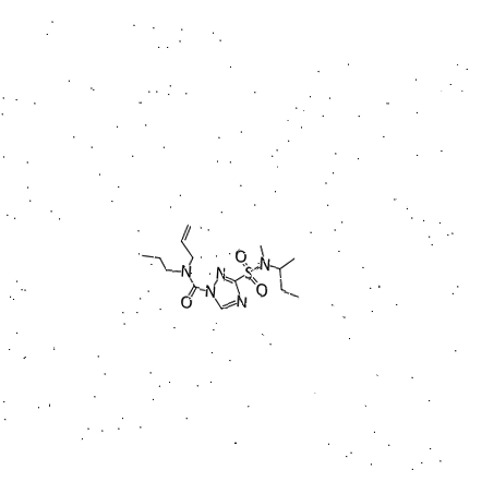 C=CCN(CCC)C(=O)n1cnc(S(=O)(=O)N(C)C(C)CC)n1